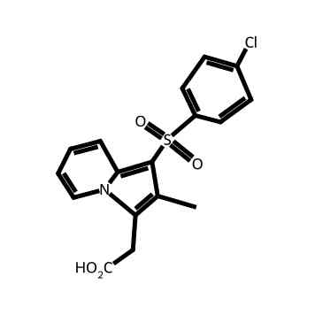 Cc1c(S(=O)(=O)c2ccc(Cl)cc2)c2ccccn2c1CC(=O)O